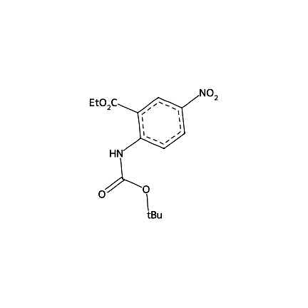 CCOC(=O)c1cc([N+](=O)[O-])ccc1NC(=O)OC(C)(C)C